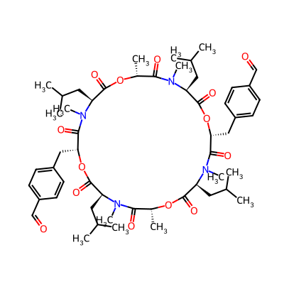 CC(C)C[C@H]1C(=O)O[C@H](Cc2ccc(C=O)cc2)C(=O)N(C)[C@@H](CC(C)C)C(=O)O[C@H](C)C(=O)N(C)[C@@H](CC(C)C)C(=O)O[C@H](Cc2ccc(C=O)cc2)C(=O)N(C)[C@@H](CC(C)C)C(=O)O[C@H](C)C(=O)N1C